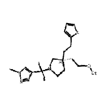 CCOCC[C@]1(CCc2cccs2)CCN(C(C)(C)c2cnn(C)c2)C1